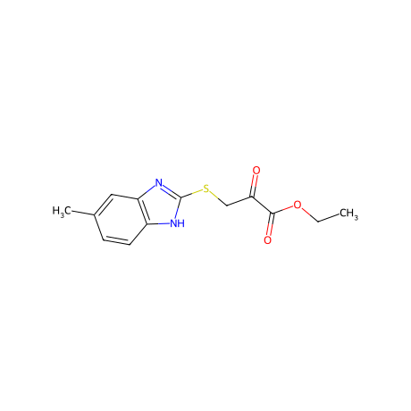 CCOC(=O)C(=O)CSc1nc2cc(C)ccc2[nH]1